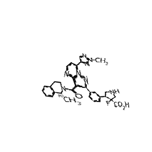 C[C@@H]1c2ccccc2CCN1C(=O)c1c(-c2cccc(C3CNCC3(F)C(=O)O)c2)nn2c(-c3cnn(C)n3)ccnc12